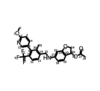 COc1ccc(-c2c(C(F)(F)F)ccc(CNc3ccc4c(c3)OC[C@H]4OC(C)=O)c2C)cn1